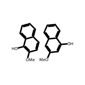 COc1cc(O)c2ccccc2c1.COc1ccc2ccccc2c1O